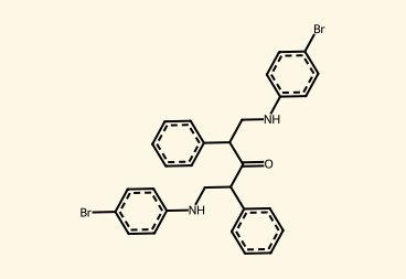 O=C(C(CNc1ccc(Br)cc1)c1ccccc1)C(CNc1ccc(Br)cc1)c1ccccc1